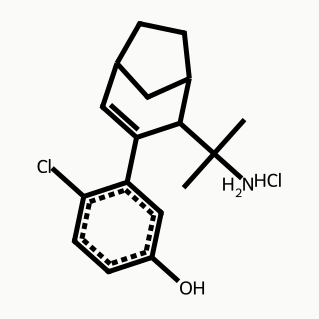 CC(C)(N)C1C(c2cc(O)ccc2Cl)=CC2CCC1C2.Cl